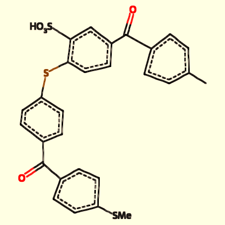 CSc1ccc(C(=O)c2ccc(Sc3ccc(C(=O)c4ccc(C)cc4)cc3S(=O)(=O)O)cc2)cc1